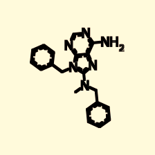 CN(Cc1ccccc1)c1nc2c(N)ncnc2n1Cc1ccccc1